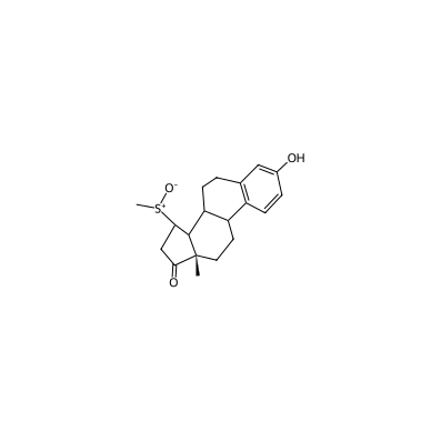 C[S+]([O-])C1CC(=O)[C@@]2(C)CCC3c4ccc(O)cc4CCC3C12